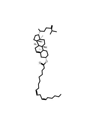 C=C(CCC(C)[C@H]1CC[C@H]2[C@@H]3CC=C4C[C@@H](OC(=O)CCCCCCC/C=C\C/C=C\CCCCC)CC[C@]4(C)[C@H]3CC[C@]12C)C(C)C